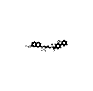 COc1ccc2c(c1)C[C@H](N(C)CCCCNC(=O)c1ccc(-c3ccccc3)c(C)c1)CC2